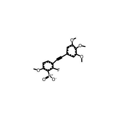 COc1cc(C#Cc2ccc(OC)c([N+](=O)[O-])c2F)cc(OC)c1OC